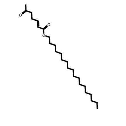 CCCCCCCCCCCCCCCCCCOC(=O)/C=C/CCC(C)=O